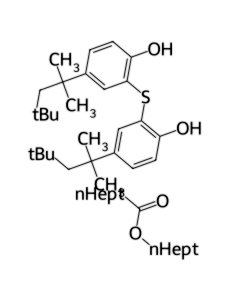 CC(C)(C)CC(C)(C)c1ccc(O)c(Sc2cc(C(C)(C)CC(C)(C)C)ccc2O)c1.CCCCCCCOC(=O)CCCCCCC